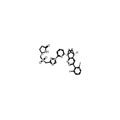 CC1(C)[C@H]2CC[C@]1(c1cccc(-n3cnc(CS(=O)(=O)C[C@H]4CCC(=O)N4)n3)n1)c1nnc(-c3c(F)cccc3F)cc12